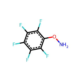 NOc1c(F)c(F)c(F)c(F)c1F